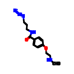 [N-]=[N+]=NCCCNC(=O)c1ccc(OCCNC=O)cc1